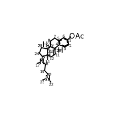 CC(=O)Oc1ccc2c(c1)CC[C@@H]1[C@@H]2CC[C@]2(C)[C@@H](N(C)CCCN(C)C)CC[C@@H]12